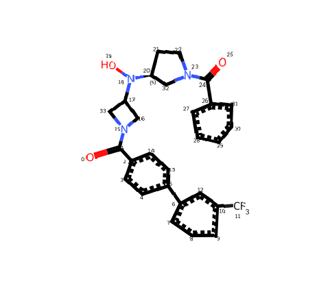 O=C(c1ccc(-c2cccc(C(F)(F)F)c2)cc1)N1CC(N(O)[C@H]2CCN(C(=O)c3ccccc3)C2)C1